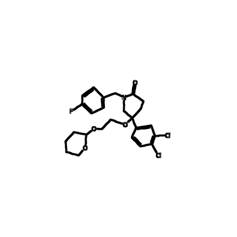 O=C1CCC(OCCOC2CCCCO2)(c2ccc(Cl)c(Cl)c2)CN1Cc1ccc(F)cc1